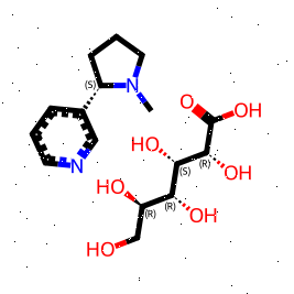 CN1CCC[C@H]1c1cccnc1.O=C(O)[C@H](O)[C@@H](O)[C@H](O)[C@H](O)CO